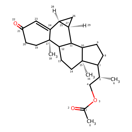 CC(=O)OC[C@@H](C)C1CCC2C3C(CC[C@@]21C)[C@@]1(C)CCC(=O)C=C1[C@H]1C[C@@H]31